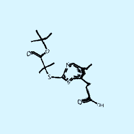 Cc1nc(SC(C)(C)C(=O)OC(C)(C)C)sc1CC(=O)O